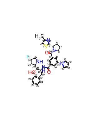 Cc1csc([C@@H]2CCCN2C(=O)c2cc(C(=O)NC(Cc3ccccc3)[C@H](O)C3C[C@H](F)CN3)cc(-n3cccc3)c2)n1